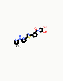 Cc1ccnc(Nc2cccc(-c3cnc(C4CCCC(C(=O)N5C[C@@H](O)[C@@H](O)C5)C4)s3)n2)c1